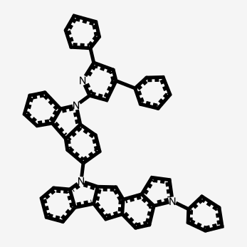 c1ccc(-c2cc(-c3ccccc3)nc(-n3c4ccccc4c4cc(-n5c6ccccc6c6cc7ccc8c(ccn8-c8ccccc8)c7cc65)ccc43)c2)cc1